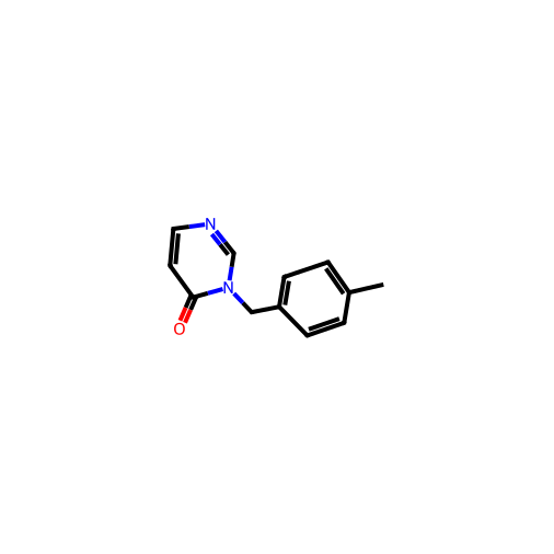 Cc1ccc(Cn2cnccc2=O)cc1